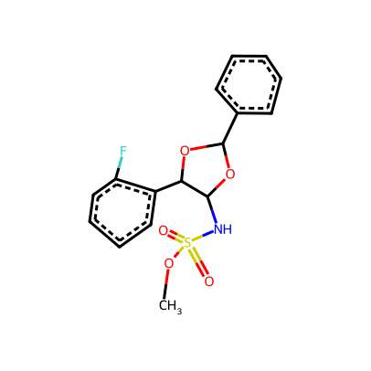 COS(=O)(=O)NC1OC(c2ccccc2)OC1c1ccccc1F